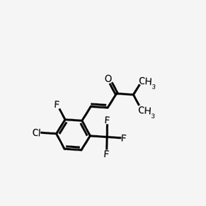 CC(C)C(=O)/C=C/c1c(C(F)(F)F)ccc(Cl)c1F